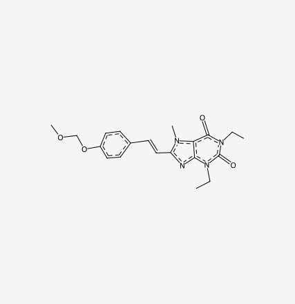 CCn1c(=O)c2c(nc(/C=C/c3ccc(OCOC)cc3)n2C)n(CC)c1=O